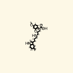 COc1ccc2c(c1)OC(CNCCCc1c[nH]c3ccc(F)cc13)CN2C(=O)O